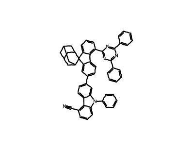 N#Cc1cccc2c1c1ccc(-c3ccc4c(c3)C3(c5cccc(-c6nc(-c7ccccc7)nc(-c7ccccc7)n6)c5-4)C4CC5CC(C4)CC3C5)cc1n2-c1ccccc1